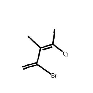 C=C(Br)/C(C)=C(/C)Cl